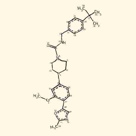 COc1cc(N2CCN(C(=O)NCc3ccc(C(C)(C)C)cc3)CC2)ccc1-c1cnc(C)o1